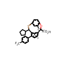 Cc1cc2ccc1OC(C(=O)O)c1ccc(-c3ccc(C(F)(F)F)cc3)c(c1C)C(C1CCCC1)S2